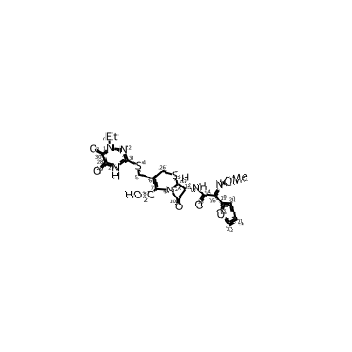 CCn1nc(SCC2=C(C(=O)O)N3C(=O)[C@@H](NC(=O)C(=NOC)c4ccco4)[C@@H]3SC2)[nH]c(=O)c1=O